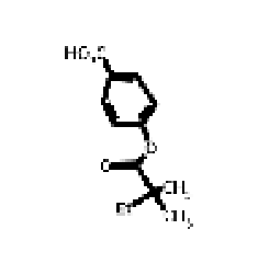 CCC(C)(C)C(=O)Oc1ccc(C(=O)O)cc1